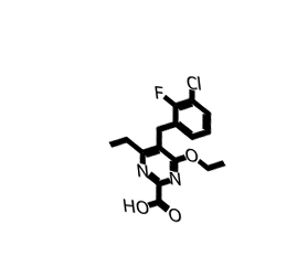 CCOc1nc(C(=O)O)nc(CC)c1Cc1cccc(Cl)c1F